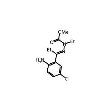 CC/C(=N\N(CC)C(=O)OC)c1cc(Cl)ccc1N